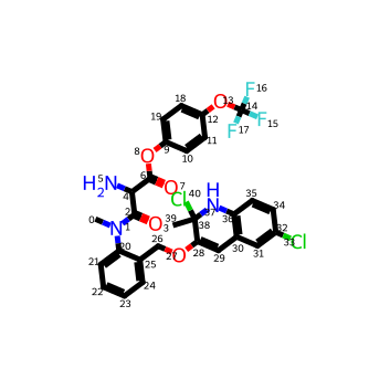 CN(C(=O)C(N)C(=O)Oc1ccc(OC(F)(F)F)cc1)c1ccccc1COC1=Cc2cc(Cl)ccc2NC1(C)Cl